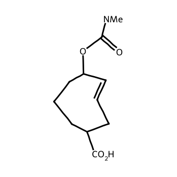 CNC(=O)OC1/C=C/CC(C(=O)O)CCC1